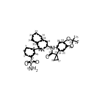 NS(=O)(=O)c1cccc(-c2nc(NC(=O)C3(c4ccc5c(c4)OC(F)(I)O5)CC3)cc3ccccc23)c1